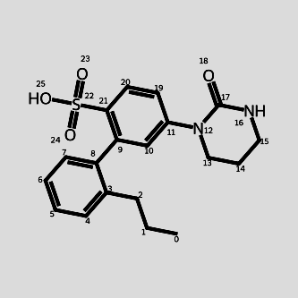 CCCc1ccccc1-c1cc(N2CCCNC2=O)ccc1S(=O)(=O)O